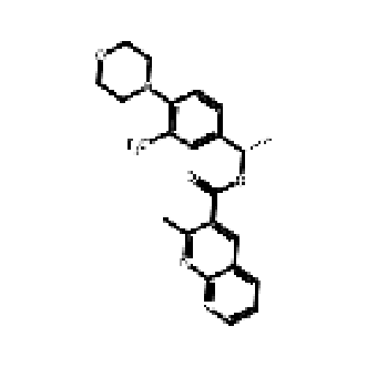 Cc1nc2ncccc2cc1C(=O)O[C@@H](C)c1ccc(N2CCOCC2)c(C(F)(F)F)c1